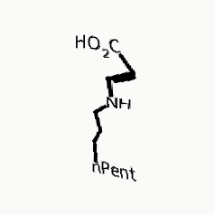 CCCCCCCCNC=CC(=O)O